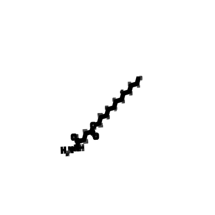 CCCCCCCCCCCCOC(=O)CCC(=O)NN